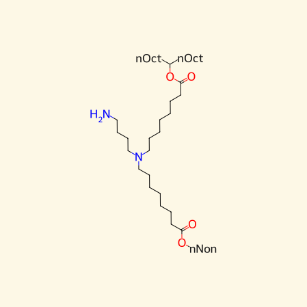 CCCCCCCCCOC(=O)CCCCCCCN(CCCCN)CCCCCCCC(=O)OC(CCCCCCCC)CCCCCCCC